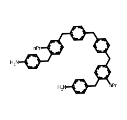 CCCc1cc(Cc2ccc(Cc3ccc(Cc4ccc(Cc5ccc(N)cc5)c(CCC)c4)cc3)cc2)ccc1Cc1ccc(N)cc1